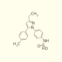 CCc1cc(-c2ccc(C)cc2)n(-c2ccc(N[SH](=O)=O)cc2)n1